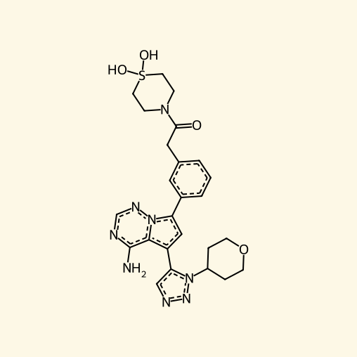 Nc1ncnn2c(-c3cccc(CC(=O)N4CCS(O)(O)CC4)c3)cc(-c3cnnn3C3CCOCC3)c12